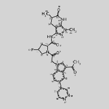 CC(=O)c1cn(CC(=O)N2CC(F)C[C@H]2C(=O)Nc2nn(C)c3c2CC(C)C(=O)N3)c2ccc(-c3ccnnc3)cc12